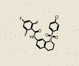 O=C(Nc1ccc2c(c1)N(S(=O)(=O)c1ccc(Cl)cc1)CCC2)c1c(F)cc(F)cc1F